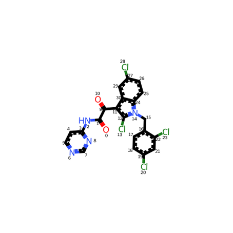 O=C(Nc1ccncn1)C(=O)c1c(Cl)n(Cc2ccc(Cl)cc2Cl)c2ccc(Cl)cc12